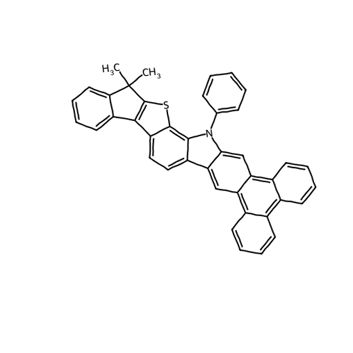 CC1(C)c2ccccc2-c2c1sc1c2ccc2c3cc4c5ccccc5c5ccccc5c4cc3n(-c3ccccc3)c21